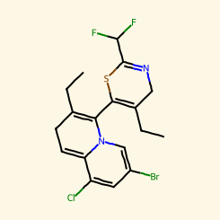 CCC1=C(C2=C(CC)CC=C3C(Cl)=CC(Br)=CN32)SC(C(F)F)=NC1